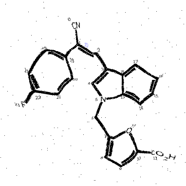 N#C/C(=C/c1cn(Cc2ccc(C(=O)O)o2)c2ccccc12)c1ccc(F)cc1